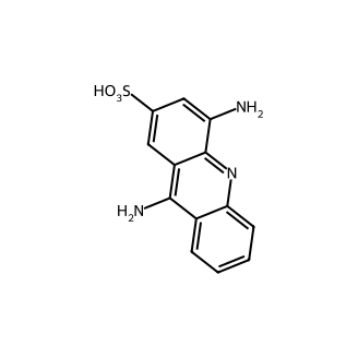 Nc1c2ccccc2nc2c(N)cc(S(=O)(=O)O)cc12